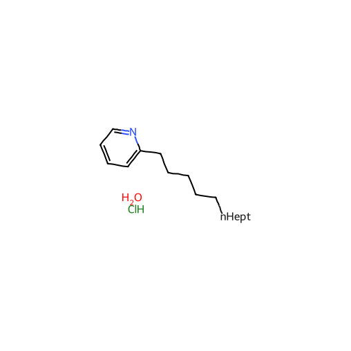 CCCCCCCCCCCCc1ccccn1.Cl.O